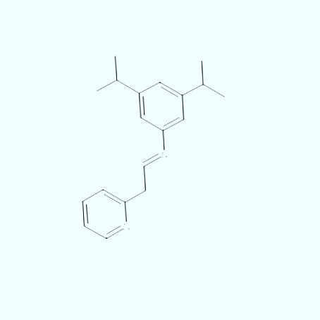 CC(C)c1cc(N=CCc2ccccn2)cc(C(C)C)c1